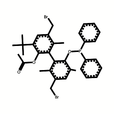 CC(=O)Oc1c(C(C)(C)C)cc(CBr)c(C)c1-c1c(C)c(CBr)cc(C)c1OP(c1ccccc1)c1ccccc1